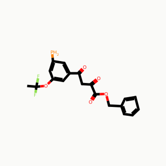 CC(F)(F)Oc1cc(P)cc(C(=O)CC(=O)C(=O)OCc2ccccc2)c1